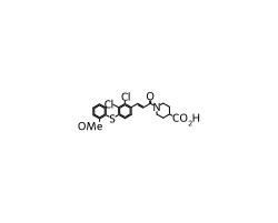 COc1ccccc1Sc1ccc(C=CC(=O)N2CCC(C(=O)O)CC2)c(Cl)c1Cl